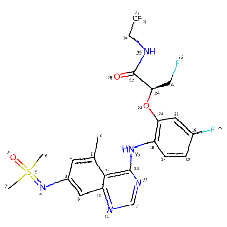 Cc1cc(N=S(C)(C)=O)cc2ncnc(Nc3ccc(F)cc3O[C@H](CF)C(=O)NCC(F)(F)F)c12